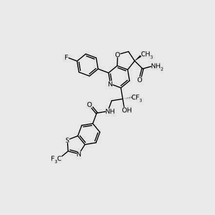 C[C@]1(C(N)=O)COc2c1cc([C@@](O)(CNC(=O)c1ccc3nc(C(F)(F)F)sc3c1)C(F)(F)F)nc2-c1ccc(F)cc1